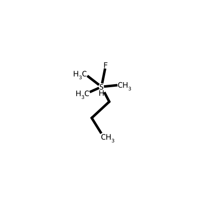 CCC[SH](C)(C)(C)F